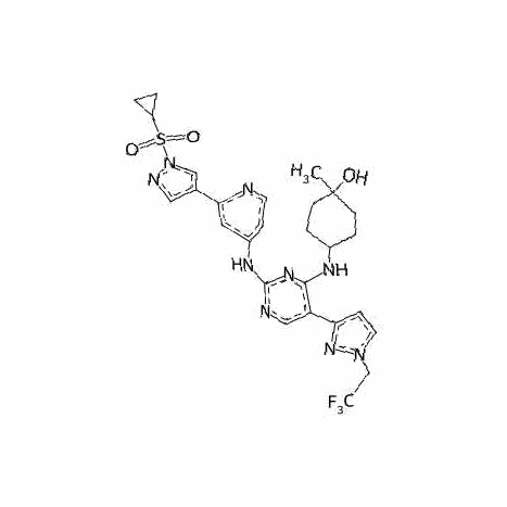 CC1(O)CCC(Nc2nc(Nc3ccnc(-c4cnn(S(=O)(=O)C5CC5)c4)c3)ncc2-c2ccn(CC(F)(F)F)n2)CC1